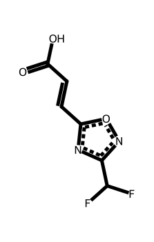 O=C(O)/C=C/c1nc(C(F)F)no1